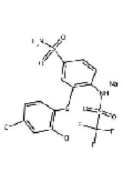 NS(=O)(=O)c1ccc(NS(=O)(=O)C(F)(F)F)c(Sc2ccc(Cl)cc2Cl)c1.[Na]